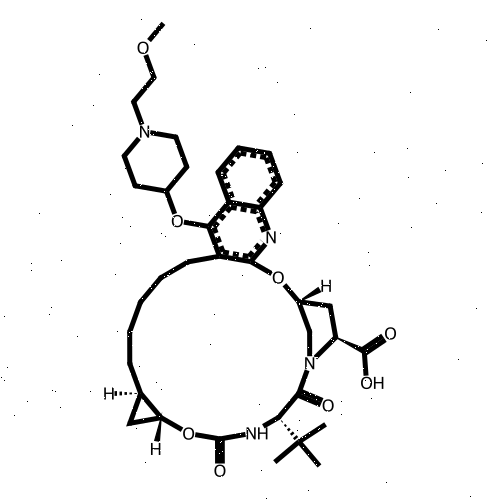 COCCN1CCC(Oc2c3c(nc4ccccc24)O[C@@H]2C[C@@H](C(=O)O)N(C2)C(=O)[C@H](C(C)(C)C)NC(=O)O[C@@H]2C[C@H]2CCCCC3)CC1